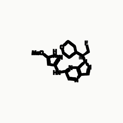 COc1cc(Nc2cnc3cnn([C@H](CF)C4CCOCC4)c3n2)n[nH]1